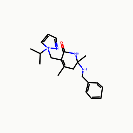 CC1=C(C[N+]2(C(C)C)C=CC=N2)C(=O)NC(C)(NCc2ccccc2)C1